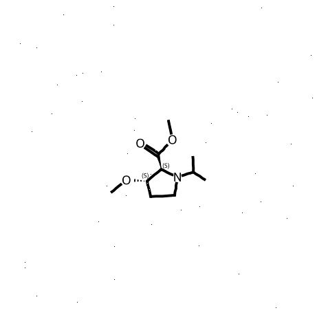 COC(=O)[C@@H]1[C@@H](OC)CCN1C(C)C